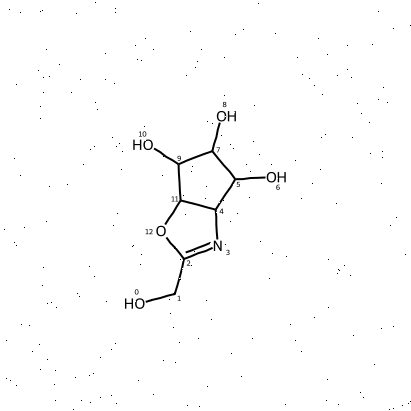 OCC1=NC2C(O)C(O)C(O)C2O1